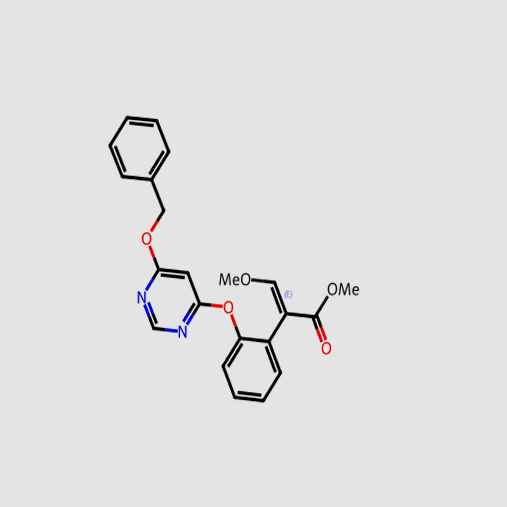 CO/C=C(/C(=O)OC)c1ccccc1Oc1cc(OCc2ccccc2)ncn1